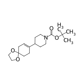 CC(C)(C)OC(=O)N1CCC(C2=CCC3(CC2)OCCO3)CC1